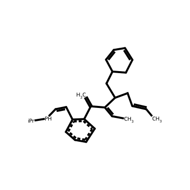 C=C(/C(=C/C)C(CC=CC)CC1C=CC=CC1)c1ccccc1/C=C\PC(C)C